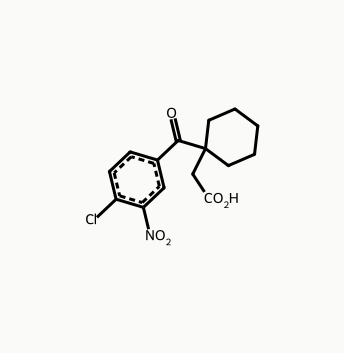 O=C(O)CC1(C(=O)c2ccc(Cl)c([N+](=O)[O-])c2)CCCCC1